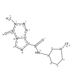 Cn1nnc2c(C(=O)NC3CCCC(C(F)(F)F)C3)ncn2c1=O